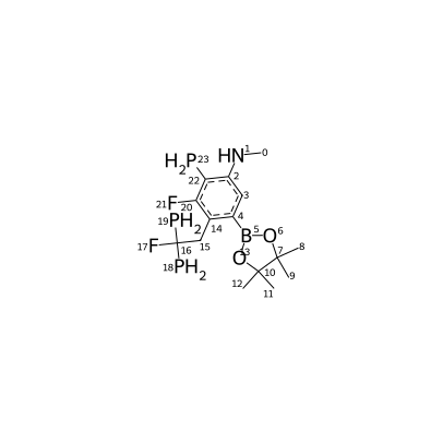 CNc1cc(B2OC(C)(C)C(C)(C)O2)c(CC(F)(P)P)c(F)c1P